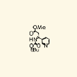 COC(=O)C[C@H](NC(=O)OC(C)(C)C)c1cccnc1